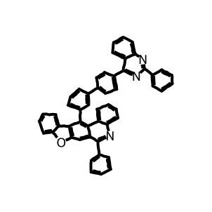 c1ccc(-c2nc(-c3ccc(-c4cccc(-c5c6c(cc7c(-c8ccccc8)nc8ccccc8c57)oc5ccccc56)c4)cc3)c3ccccc3n2)cc1